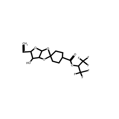 C=CC1OC2OC3(CCC(C(=O)OC(C(F)(F)F)C(F)(F)F)CC3)OC2C1O